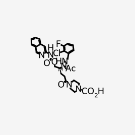 CC(=O)N(NCc1cccc(F)c1Cl)[C@@H](CCC(=O)N1CCN(C(=O)O)CC1)COC(=O)Nc1cc2ccccc2cn1